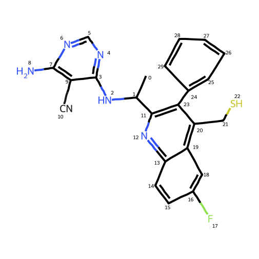 CC(Nc1ncnc(N)c1C#N)c1nc2ccc(F)cc2c(CS)c1-c1ccccc1